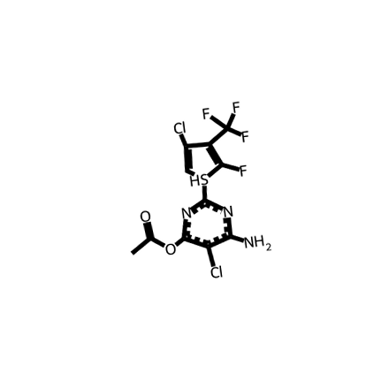 CC(=O)Oc1nc([SH]2C=C(Cl)C(C(F)(F)F)=C2F)nc(N)c1Cl